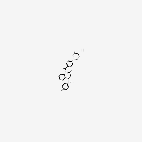 CC(=O)N(c1ccc(Cl)cc1)C1CC(C)N(C(=O)c2ccc(N3CCCC(C(=O)O)C3)cc2)c2ccccc21